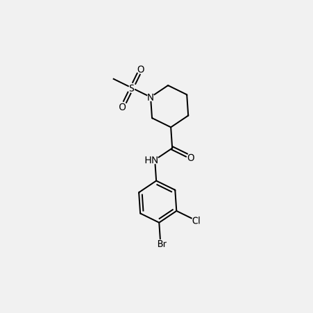 CS(=O)(=O)N1CCCC(C(=O)Nc2ccc(Br)c(Cl)c2)C1